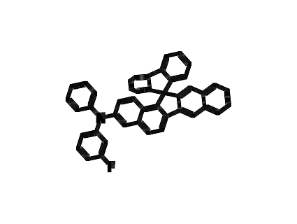 Fc1cccc(N(c2ccccc2)c2ccc3c4c(ccc3c2)-c2cc3ccccc3cc2C42c3ccccc3-c3ccccc32)c1